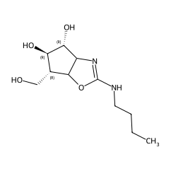 CCCCNC1=NC2C(O1)[C@H](CO)[C@@H](O)[C@@H]2O